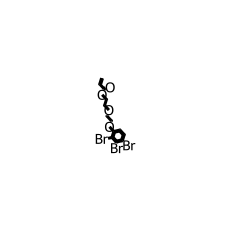 C=CC(=O)OCCOCCOc1ccc(Br)c(Br)c1Br